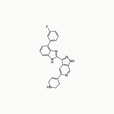 Fc1cccc(-c2cccc3[nH]c(-c4n[nH]c5cnc(C6=CCNCC6)cc45)nc23)c1